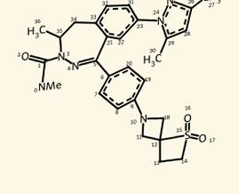 CNC(=O)N1N=C(c2ccc(N3CC4(CCS4(=O)=O)C3)cc2)c2cc(-n3nc(C)cc3C)ccc2CC1C